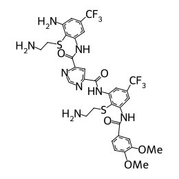 COc1ccc(C(=O)Nc2cc(C(F)(F)F)cc(NC(=O)c3cc(C(=O)Nc4cc(C(F)(F)F)cc(N)c4SCCN)ncn3)c2SCCN)cc1OC